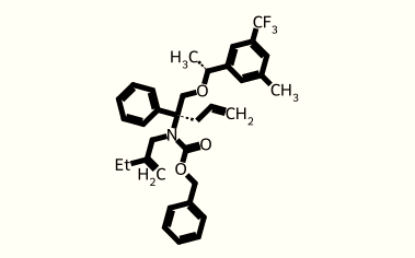 C=CC[C@@](CO[C@H](C)c1cc(C)cc(C(F)(F)F)c1)(c1ccccc1)N(CC(=C)CC)C(=O)OCc1ccccc1